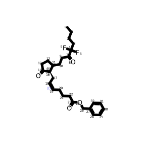 CCCCC(F)(F)C(=O)CCC1CCC(=O)[C@@H]1C/C=C\CCCC(=O)OCc1ccccc1